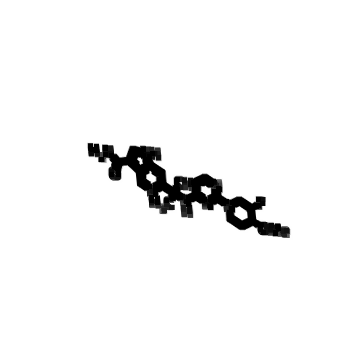 CO[C@H]1CCN(c2nccc(NC(C)(C)c3cc4[nH]cc(C(N)=O)c4cn3)n2)C[C@H]1F